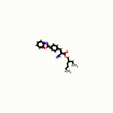 CCCCC(CC)COC(=O)/C(C#N)=C/c1ccc(-c2nc3ccccc3o2)cc1